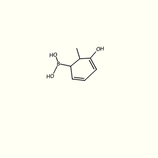 CC1C(O)=CC=CC1B(O)O